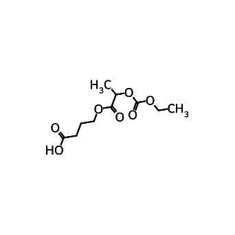 CCOC(=O)OC(C)C(=O)OCCCC(=O)O